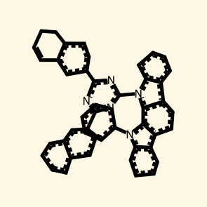 C1=Cc2cc(-c3nc(-c4ccc5ccccc5c4)nc(-n4c5ccccc5c5ccc6c7ccccc7n(-c7ccccc7)c6c54)n3)ccc2CC1